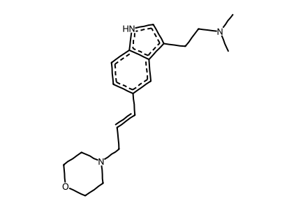 CN(C)CCc1c[nH]c2ccc(/C=C/CN3CCOCC3)cc12